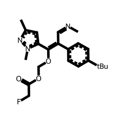 C/N=C\C(=C(\OCOC(=O)CF)c1cc(C)nn1C)c1ccc(C(C)(C)C)cc1